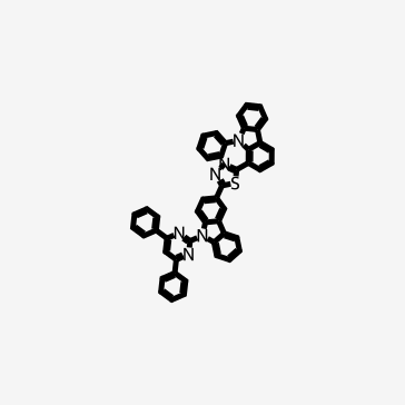 c1ccc(-c2cc(-c3ccccc3)nc(-n3c4ccccc4c4cc(-c5nnc(-c6cccc7c8ccccc8n(-c8ccccc8)c67)s5)ccc43)n2)cc1